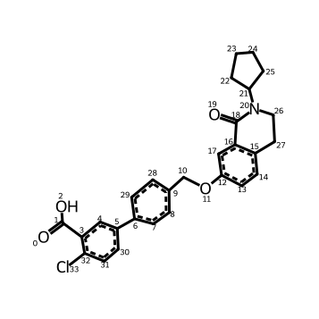 O=C(O)c1cc(-c2ccc(COc3ccc4c(c3)C(=O)N(C3CCCC3)CC4)cc2)ccc1Cl